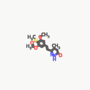 COc1cc(C=CC2=NNC(=O)CC2C)cc(OC)c1[S+](C)[O-]